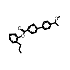 CCCc1ccccc1OC(=O)c1ccc(-c2ccc(C(C)OC)cc2)cc1